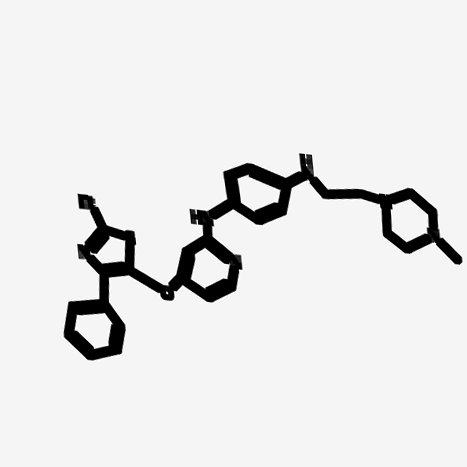 CCc1nc(-c2ccccc2)c(Oc2ccnc(Nc3ccc(NCCN4CCN(C)CC4)cc3)c2)s1